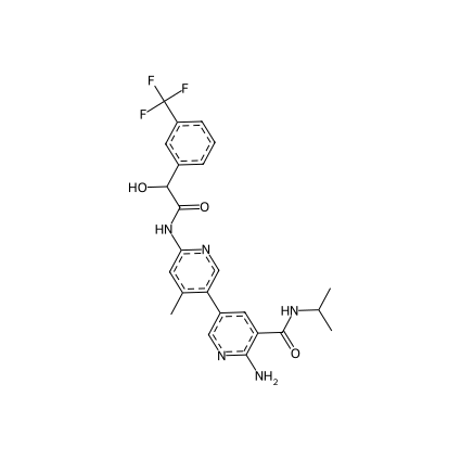 Cc1cc(NC(=O)C(O)c2cccc(C(F)(F)F)c2)ncc1-c1cnc(N)c(C(=O)NC(C)C)c1